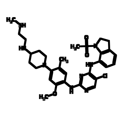 CNCCNC1CCN(c2cc(OC)c(Nc3ncc(Cl)c(Nc4cccc5c4N(S(C)(=O)=O)CC5)n3)cc2C)CC1